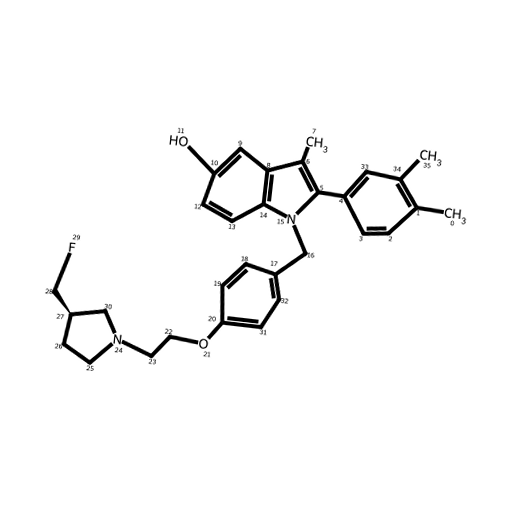 Cc1ccc(-c2c(C)c3cc(O)ccc3n2Cc2ccc(OCCN3CC[C@@H](CF)C3)cc2)cc1C